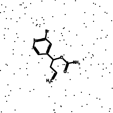 C=CCC(OC(N)=O)c1ccnc(Br)c1